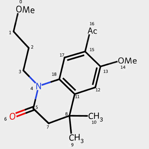 COCCCN1C(=O)CC(C)(C)c2cc(OC)c(C(C)=O)cc21